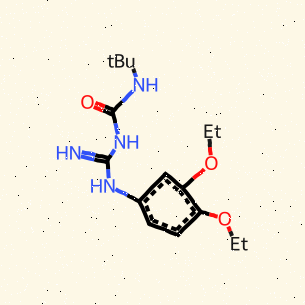 CCOc1ccc(NC(=N)NC(=O)NC(C)(C)C)cc1OCC